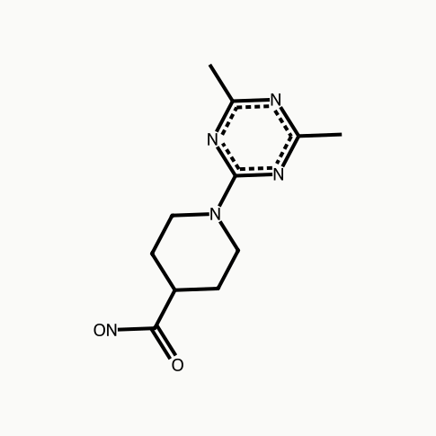 Cc1nc(C)nc(N2CCC(C(=O)N=O)CC2)n1